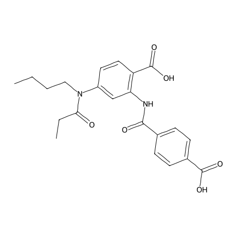 CCCCN(C(=O)CC)c1ccc(C(=O)O)c(NC(=O)c2ccc(C(=O)O)cc2)c1